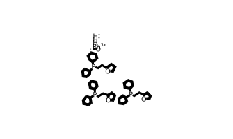 [C]=O.[H-].[H-].[H-].[Rh+3].c1ccc(P(CCc2ccco2)c2ccccc2)cc1.c1ccc(P(CCc2ccco2)c2ccccc2)cc1.c1ccc(P(CCc2ccco2)c2ccccc2)cc1